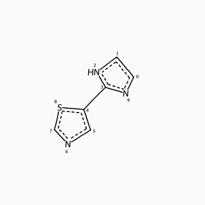 c1c[nH]c(-c2cncs2)n1